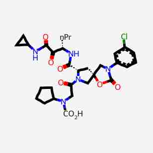 CCC[C@H](NC(=O)[C@@H]1C[C@@]2(CN(c3cccc(Cl)c3)C(=O)O2)CN1C(=O)CN(C(=O)O)C1CCCC1)C(=O)C(=O)NC1CC1